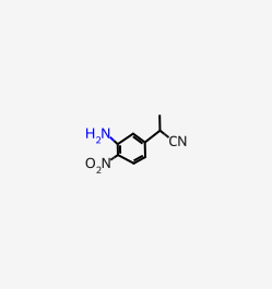 CC(C#N)c1ccc([N+](=O)[O-])c(N)c1